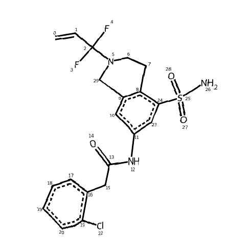 C=CC(F)(F)N1CCc2c(cc(NC(=O)Cc3ccccc3Cl)cc2S(N)(=O)=O)C1